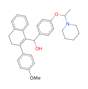 COc1ccc(C2=C(C(O)c3ccc(OC(C)N4CCCCC4)cc3)c3ccccc3CC2)cc1